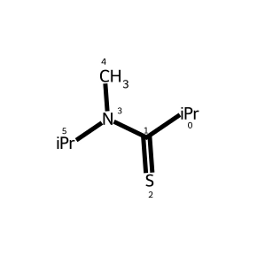 CC(C)C(=S)N(C)C(C)C